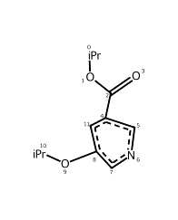 CC(C)OC(=O)c1cncc(OC(C)C)c1